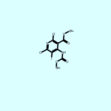 CC(C)(C)OC(=O)Nc1c(I)c(Cl)nc(Cl)c1C(=O)OC(C)(C)C